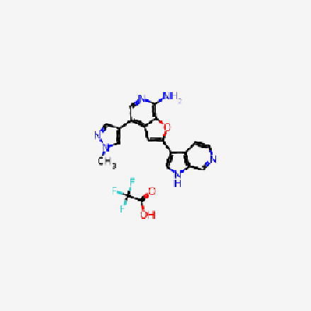 Cn1cc(-c2cnc(N)c3oc(-c4c[nH]c5cnccc45)cc23)cn1.O=C(O)C(F)(F)F